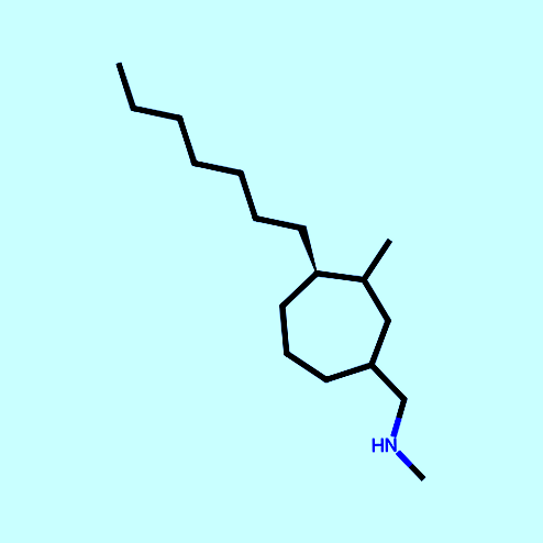 CCCCCCC[C@@H]1CCCC(CNC)CC1C